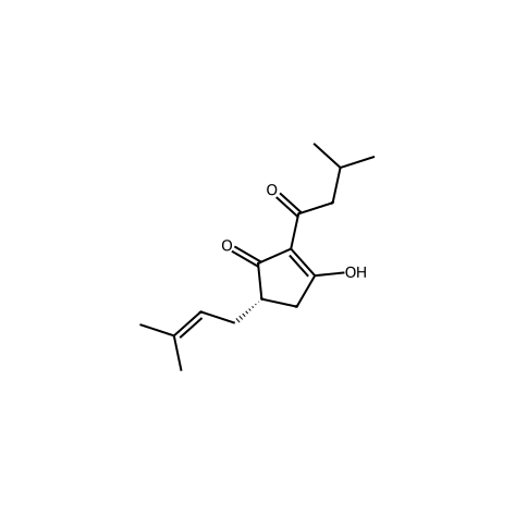 CC(C)=CC[C@H]1CC(O)=C(C(=O)CC(C)C)C1=O